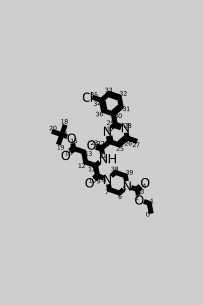 CCOC(=O)N1CCN(C(=O)C(CCC(=O)OC(C)(C)C)NC(=O)c2cc(C)nc(-c3cccc(Cl)c3)n2)CC1